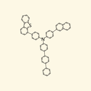 c1ccc(-c2ccc(-c3ccc(N(c4ccc(-c5ccc6ccccc6c5)cc4)c4ccc(-c5cccc6c5sc5ccccc56)cc4)cc3)cc2)cc1